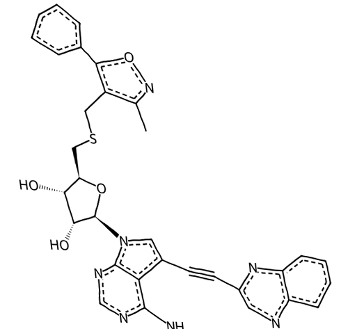 Cc1noc(-c2ccccc2)c1CSC[C@H]1O[C@@H](n2cc(C#Cc3cnc4ccccc4n3)c3c(N)ncnc32)[C@H](O)[C@@H]1O